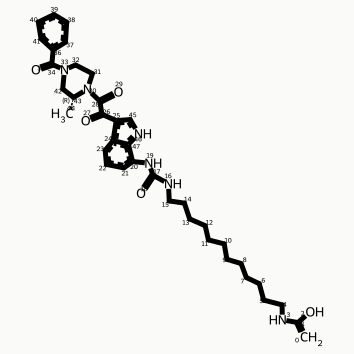 C=C(O)NCCCCCCCCCCCCNC(=O)Nc1cccc2c(C(=O)C(=O)N3CCN(C(=O)c4ccccc4)C[C@H]3C)c[nH]c12